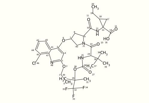 CCOc1cc(OC2CC(C(=O)NC3(C(=O)O)CC3CC)N(C(=O)C(NC(=O)OC(C)(C)C(F)(F)F)C(C)(C)C)C2)c2cccc(Cl)c2n1